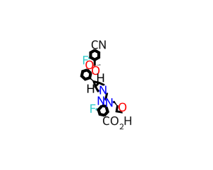 C[C@@]1(c2ccc(C#N)cc2F)Oc2cccc([C@H]3[C@@H]4CN(Cc5nc6c(F)cc(C(=O)O)cc6n5C[C@@H]5CCO5)C[C@@H]43)c2O1